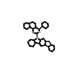 c1ccc(-c2nc(-n3c4ccccc4c4cc5c(cc43)Cc3ccccc3-5)nc3c2ccc2ccccc23)cc1